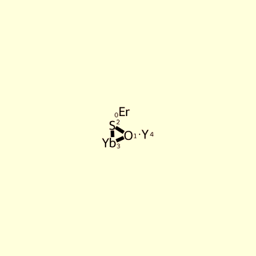 [Er].[O]1[S][Yb]1.[Y]